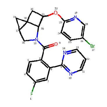 O=C(c1ccc(F)cc1-c1ncccn1)N1CC2CC23CC(Oc2ccc(Br)cn2)C13